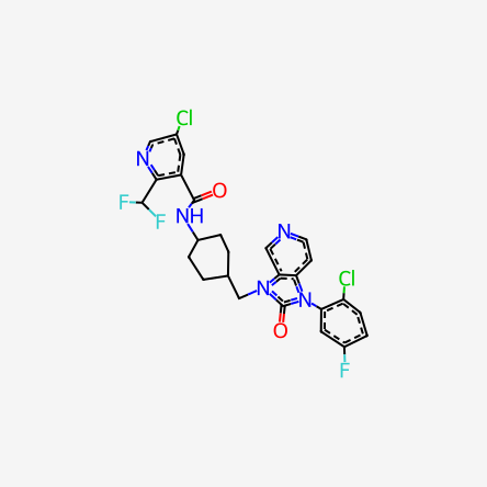 O=C(NC1CCC(Cn2c(=O)n(-c3cc(F)ccc3Cl)c3ccncc32)CC1)c1cc(Cl)cnc1C(F)F